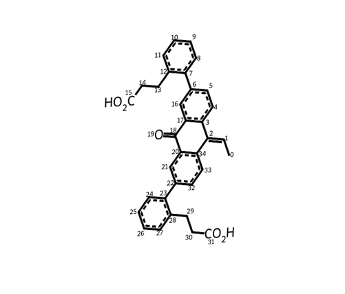 CC=C1c2ccc(-c3ccccc3CCC(=O)O)cc2C(=O)c2cc(-c3ccccc3CCC(=O)O)ccc21